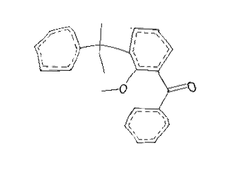 COc1c(C(C)(C)c2ccccc2)[c]ccc1C(=O)c1ccccc1